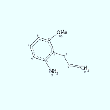 C=CCc1c(N)cccc1OC